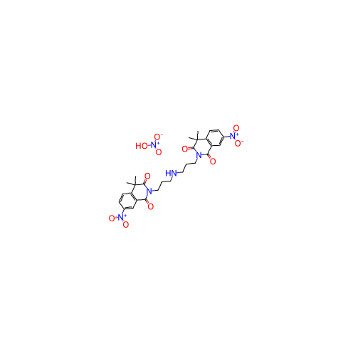 CC1(C)C(=O)N(CCCNCCCN2C(=O)c3cc([N+](=O)[O-])ccc3C(C)(C)C2=O)C(=O)c2cc([N+](=O)[O-])ccc21.O=[N+]([O-])O